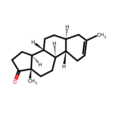 CC1=CC[C@H]2[C@@H](CC[C@@H]3[C@@H]2CC[C@]2(C)C(=O)CC[C@@H]32)C1